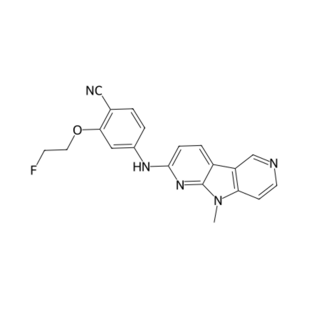 Cn1c2ccncc2c2ccc(Nc3ccc(C#N)c(OCCF)c3)nc21